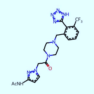 CC(=O)Nc1ccn(CC(=O)N2CCN(Cc3cccc(C(F)(F)F)c3-c3nnn[nH]3)CC2)n1